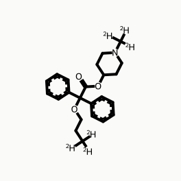 [2H]C([2H])([2H])CCOC(C(=O)OC1CCN(C([2H])([2H])[2H])CC1)(c1ccccc1)c1ccccc1